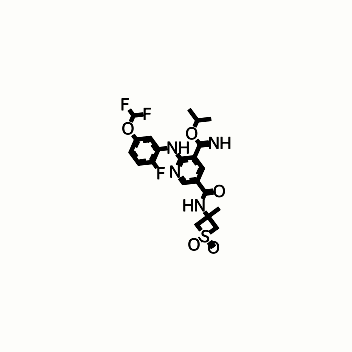 CC(C)OC(=N)c1cc(C(=O)NC2(C)CS(=O)(=O)C2)cnc1Nc1cc(OC(F)F)ccc1F